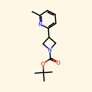 Cc1cccc(C2CN(C(=O)OC(C)(C)C)C2)n1